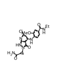 CCNC(=O)c1ccc(Nc2cc(Cl)nc3[nH]n(C4CC4C(N)=O)c(=O)c23)c(OC)c1